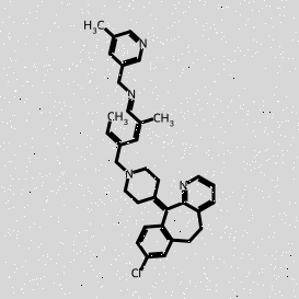 C\C=C(/C=C(C)\C=N\Cc1cncc(C)c1)CN1CCC(=C2c3ccc(Cl)cc3CCc3cccnc32)CC1